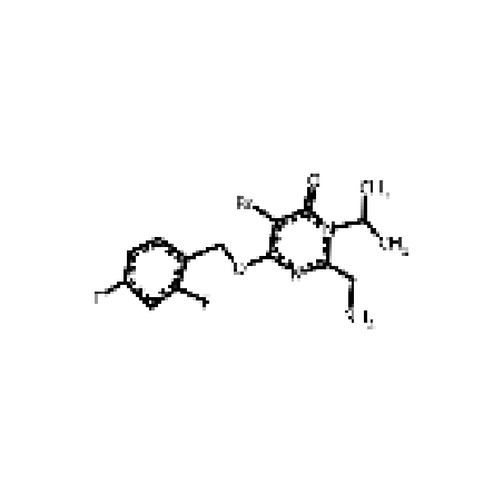 CC(C)n1c(CN)nc(OCc2ccc(F)cc2F)c(Br)c1=O